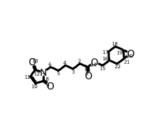 O=C(CCCCCN1C(=O)C=CC1=O)OCC1CCC2OC2C1